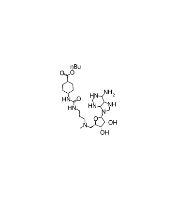 CCCCOC(=O)C1CCC(NC(=O)NCCCN(C)C[C@H]2O[C@@H](N3CNC4C(N)NCNC43)[C@H](O)[C@@H]2O)CC1